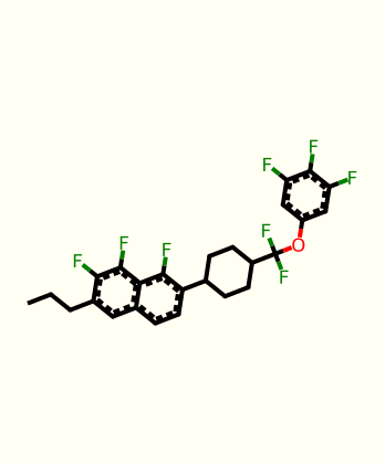 CCCc1cc2ccc(C3CCC(C(F)(F)Oc4cc(F)c(F)c(F)c4)CC3)c(F)c2c(F)c1F